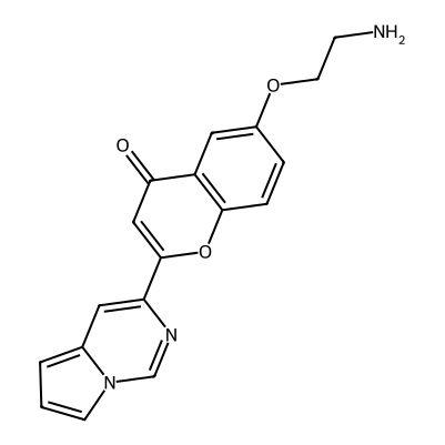 NCCOc1ccc2oc(-c3cc4cccn4cn3)cc(=O)c2c1